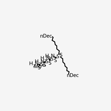 CCCCCCCCCCCCCCCCCCSCCCCCCCCCCCCCCCCCC.NC(=S)[S-].NC(=S)[S-].NC(=S)[S-].NC(=S)[S-].[Mo+4]